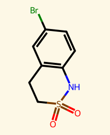 O=S1(=O)CCc2cc(Br)ccc2N1